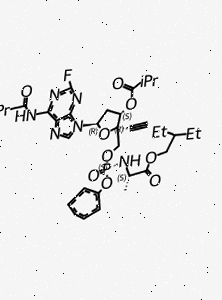 C#C[C@]1(CO[P@@](=O)(N[C@@H](C)C(=O)OCC(CC)CC)Oc2ccccc2)O[C@@H](n2cnc3c(NC(=O)C(C)C)nc(F)nc32)C[C@@H]1OC(=O)C(C)C